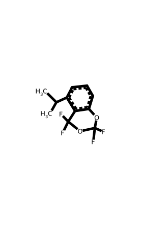 CC(C)c1[c]ccc2c1C(F)(F)OC(F)(F)O2